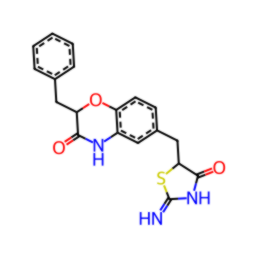 N=C1NC(=O)C(Cc2ccc3c(c2)NC(=O)C(Cc2ccccc2)O3)S1